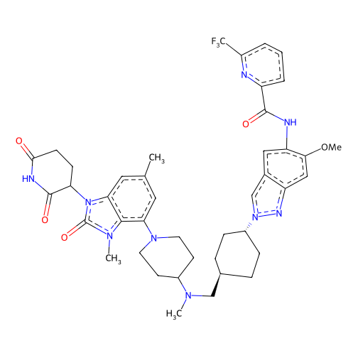 COc1cc2nn([C@H]3CC[C@H](CN(C)C4CCN(c5cc(C)cc6c5n(C)c(=O)n6C5CCC(=O)NC5=O)CC4)CC3)cc2cc1NC(=O)c1cccc(C(F)(F)F)n1